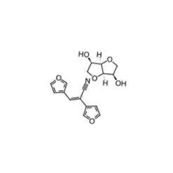 N#C/C(=C\c1ccoc1)c1ccoc1.O[C@@H]1CO[C@H]2[C@@H]1OC[C@H]2O